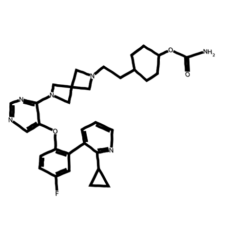 NC(=O)OC1CCC(CCN2CC3(C2)CN(c2ncncc2Oc2ccc(F)cc2-c2cccnc2C2CC2)C3)CC1